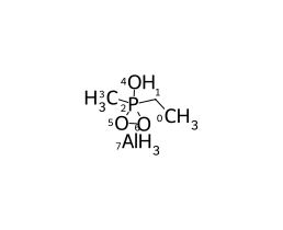 CCP1(C)(O)OO1.[AlH3]